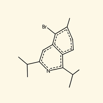 Cc1ccc2c(C(C)C)nc(C(C)C)cc2c1Br